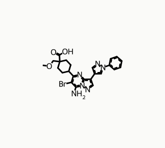 COCC1(C(=O)O)CCC(c2nc3c(-c4cnn(-c5ccccc5)c4)cnn3c(N)c2Br)CC1